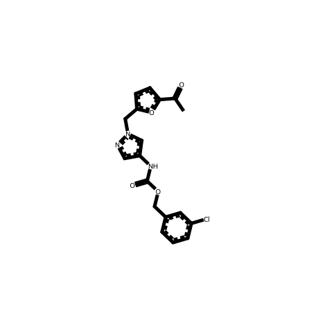 CC(=O)c1ccc(Cn2cc(NC(=O)OCc3cccc(Cl)c3)cn2)o1